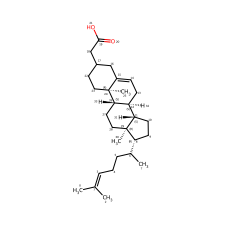 CC(C)=CCCC(C)[C@H]1CC[C@H]2[C@@H]3CC=C4CC(CC(=O)O)CC[C@]4(C)[C@H]3CC[C@]12C